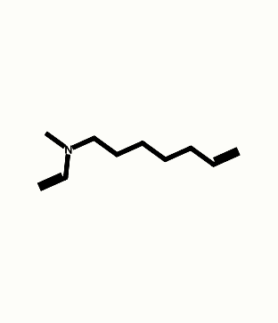 C=CCCCCCN(C)C=C